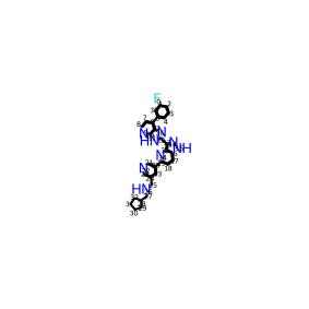 Fc1cccc(-c2ccnc3[nH]c(-c4n[nH]c5ccc(-c6cncc(CNCC7CCCC7)c6)nc45)nc23)c1